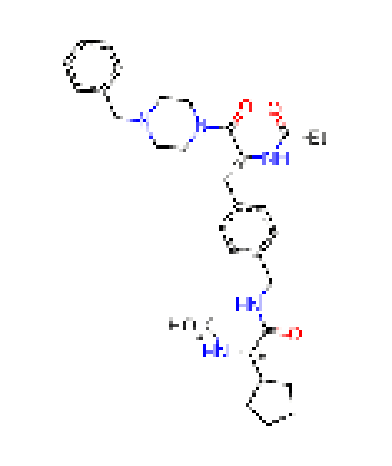 CCC(=O)N[C@H](Cc1ccc(CNC(=O)[C@@H](NC(=O)O)C2CCCC2)cc1)C(=O)N1CCN(Cc2ccccc2)CC1